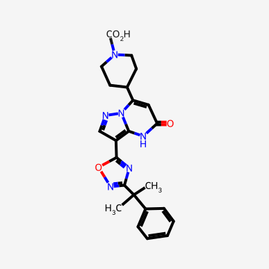 CC(C)(c1ccccc1)c1noc(-c2cnn3c(C4CCN(C(=O)O)CC4)cc(=O)[nH]c23)n1